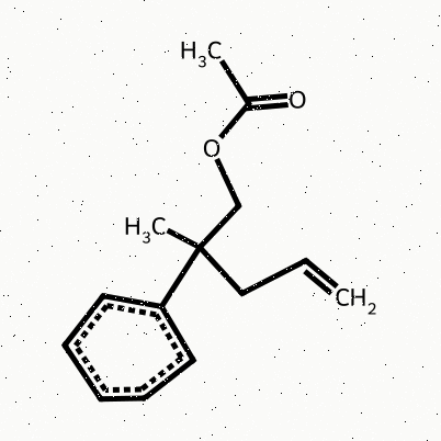 C=CCC(C)(COC(C)=O)c1ccccc1